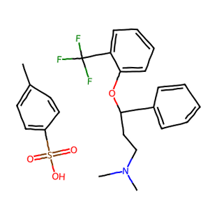 CN(C)CCC(Oc1ccccc1C(F)(F)F)c1ccccc1.Cc1ccc(S(=O)(=O)O)cc1